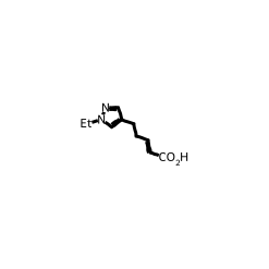 CCn1cc(CCC=CC(=O)O)cn1